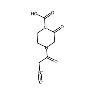 [C-]#[N+]CC(=O)N1CCN(C(=O)O)C(=O)C1